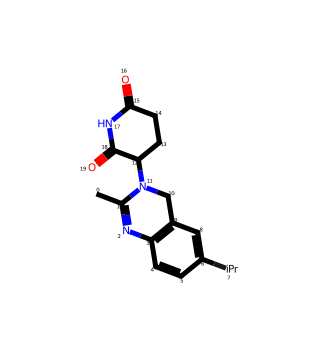 CC1=Nc2ccc(C(C)C)cc2CN1C1CCC(=O)NC1=O